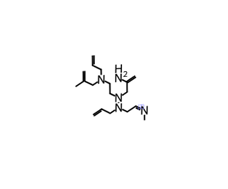 C=CCN(CCN(CC(=C)N)N(CC=C)C/C=N\C)CC(=C)C